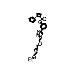 CCOCCOCCOCCn1cc(-c2cccc(OC(=O)[C@@H]3CC[C@@H]3c3ccccc3)c2)nn1